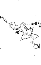 C[C@]12CC[C@H]3[C@@H]([C@@H](N)C=C4C[C@@H](O)C=C[C@@]43C)[C@@H]1CC[C@@H]2O